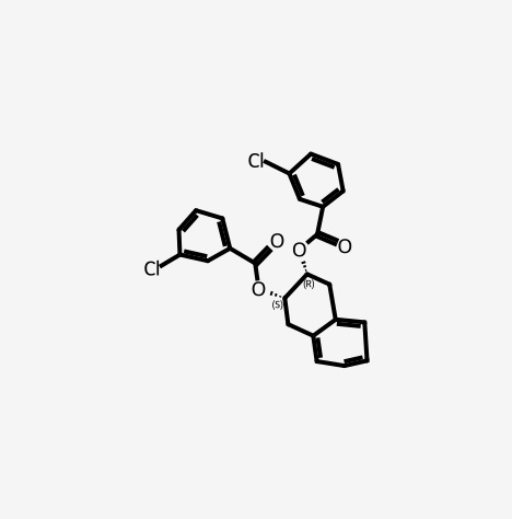 O=C(O[C@H]1Cc2ccccc2C[C@H]1OC(=O)c1cccc(Cl)c1)c1cccc(Cl)c1